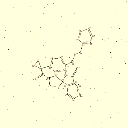 O=C1OC2(CCN(C(=O)C3(c4ccc(OCCc5ccccc5)cc4)CC3)C2)c2ccncc21